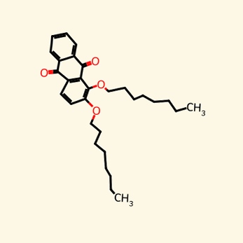 CCCCCCCCOc1ccc2c(c1OCCCCCCCC)C(=O)c1ccccc1C2=O